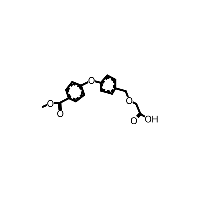 COC(=O)c1ccc(Oc2ccc(COCC(=O)O)cc2)cc1